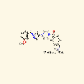 CCOc1cccc(Cn2cc(N3CCN(C(=O)C4CCC(CN(CCOC)C(C)(C)C)CC4)CC3)cn2)c1